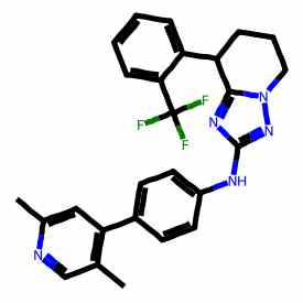 Cc1cc(-c2ccc(Nc3nc4n(n3)CCCC4c3ccccc3C(F)(F)F)cc2)c(C)cn1